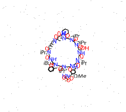 CC[C@H](C)[C@@H]1NC(=O)[C@H](CC(C)C)N(C)C(=O)CCCN(C)C(=O)C[C@@H](C(=O)N2CCCCC2)NC(=O)[C@H](CC(C)C)N(C)C(=O)[C@H](CC(C)C)N(C)C(=O)[C@H]([C@@H](C)O)NC(=O)[C@H](CC(C)C)N(C)C(=O)[C@H](Cc2ccc(C(=O)NS(C)(=O)=O)c(OC)c2)NC(=O)[C@H](CC(C)C)N(C)C(=O)[C@H](Cc2ccccc2)N(C)C1=O